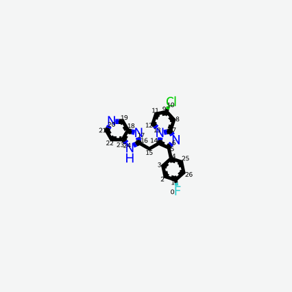 Fc1ccc(-c2nc3cc(Cl)ccn3c2Cc2nc3cnccc3[nH]2)cc1